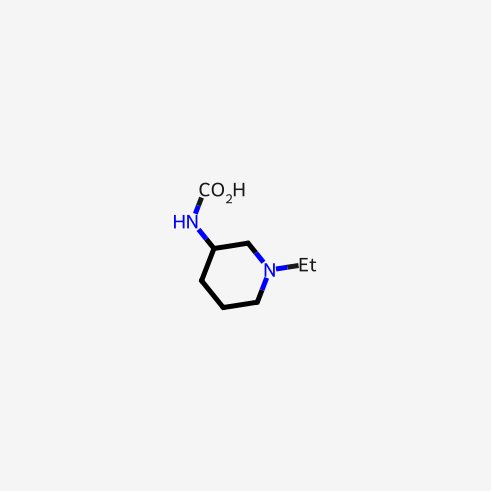 CCN1CCCC(NC(=O)O)C1